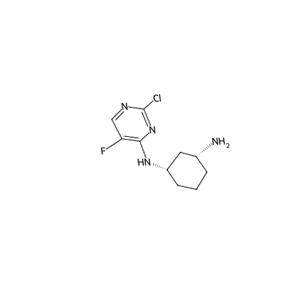 N[C@@H]1CCC[C@H](Nc2nc(Cl)ncc2F)C1